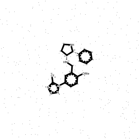 COc1ccc(-n2nnnc2C(F)(F)F)cc1CN[C@@H]1CCN[C@@H]1c1ccccc1